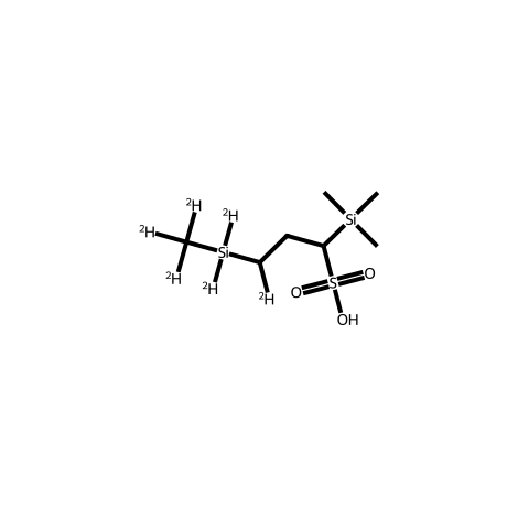 [2H]C(CC([Si](C)(C)C)S(=O)(=O)O)[Si]([2H])([2H])C([2H])([2H])[2H]